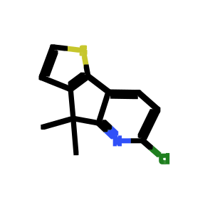 CC1(C)c2ccsc2-c2ccc(Cl)nc21